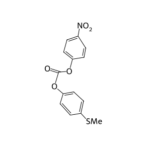 CSc1ccc(OC(=O)Oc2ccc([N+](=O)[O-])cc2)cc1